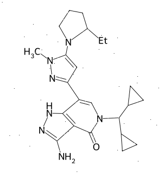 CCC1CCCN1c1cc(-c2cn(C(C3CC3)C3CC3)c(=O)c3c(N)n[nH]c23)nn1C